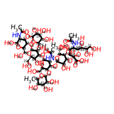 CC(=O)N[C@@H]1[C@@H](O[C@@H]2O[C@@H](C)[C@@H](O)[C@@H](O)[C@@H]2O)[C@H](O[C@@H]2O[C@H](CO)[C@H](O)[C@H](O[C@@H]3O[C@H](CO)[C@@H](O[C@@H]4O[C@@H](C)[C@@H](O)[C@@H](O)[C@@H]4O)[C@H](O[C@@H]4O[C@H](CO)[C@H](O)[C@H](O[C@]5(C(=O)O)C[C@H](O)[C@@H](NC(C)=O)[C@H]([C@H](O)[C@H](O)CO)O5)[C@H]4O)[C@H]3NC(C)=O)[C@H]2O)[C@@H](CO)O[C@H]1O